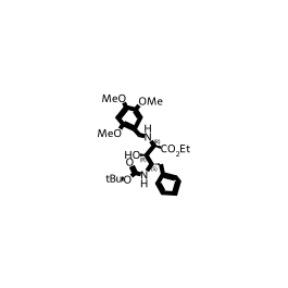 CCOC(=O)[C@H](NCc1cc(OC)c(OC)cc1OC)[C@H](O)[C@H](Cc1ccccc1)NC(=O)OC(C)(C)C